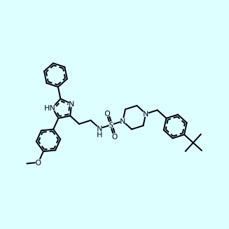 COc1ccc(-c2[nH]c(-c3ccccc3)nc2CCNS(=O)(=O)N2CCN(Cc3ccc(C(C)(C)C)cc3)CC2)cc1